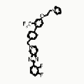 Fc1cccc(-c2nc3ccn(Cc4ccc(-c5ccc(OCCn6cccc6)cc5C(F)(F)F)cc4)cc-3n2)c1F